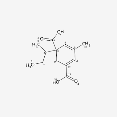 CCC(C)C1(C(=O)O)C=C(C)C=C(C(=O)O)C1